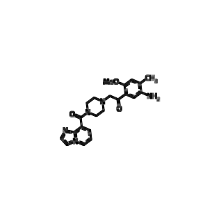 COc1cc(C)c(N)cc1C(=O)CN1CCN(C(=O)c2cccn3ccnc23)CC1